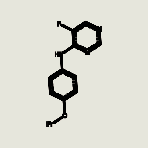 CC(C)Oc1ccc(Nc2ncncc2F)cc1